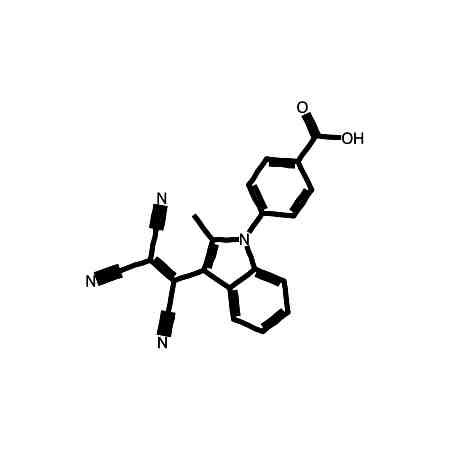 Cc1c(C(C#N)=C(C#N)C#N)c2ccccc2n1-c1ccc(C(=O)O)cc1